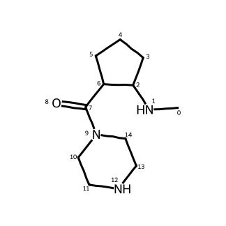 CNC1CCCC1C(=O)N1CCNCC1